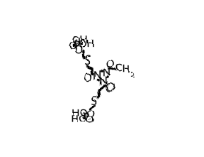 C=CC(=O)N1CN(C(=O)CCSCCOP(=O)(O)O)CN(C(=O)CCSCCOP(=O)(O)O)C1